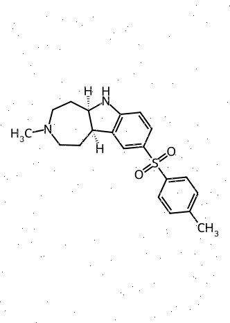 Cc1ccc(S(=O)(=O)c2ccc3c(c2)[C@H]2CCN(C)CC[C@H]2N3)cc1